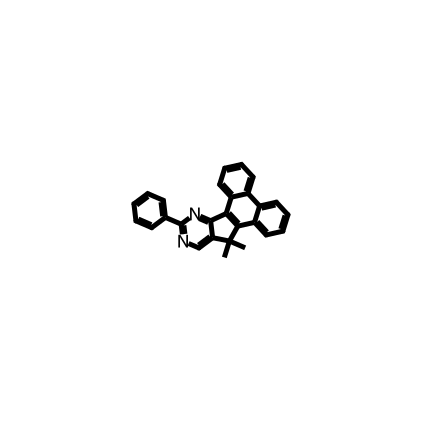 CC1(C)c2cnc(-c3ccccc3)nc2-c2c1c1ccccc1c1ccccc21